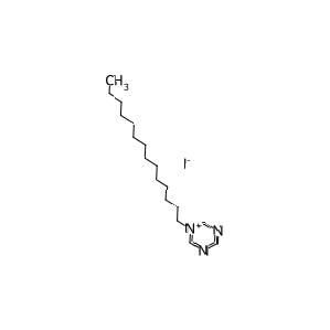 CCCCCCCCCCCCCC[n+]1cncnc1.[I-]